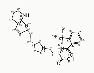 O=C(N[C@@H](CCN1CC[C@H](CCc2ccc3c(n2)NCCC3)C1)C(=O)O)c1ccccc1C(F)(F)F